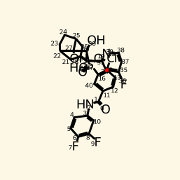 O=C(Nc1ccc(F)c(F)c1)c1ccc(Cl)c(S(=O)(=O)C2CC3CCC(C2)C3(O)C(O)C(O)c2cc(F)ccn2)c1